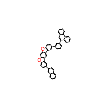 c1cc(-c2ccc3oc4cc5oc6ccc(-c7ccc8ccccc8c7)cc6c5cc4c3c2)cc(-c2cc3ccccc3c3ccccc23)c1